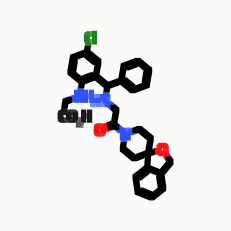 O=C(O)CNc1ccc(Cl)cc1C(NCC(=O)N1CCC2(CC1)OCc1ccccc12)c1ccccc1